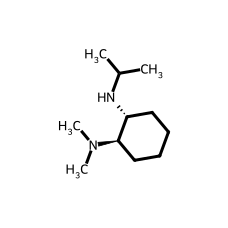 CC(C)N[C@@H]1CCCC[C@H]1N(C)C